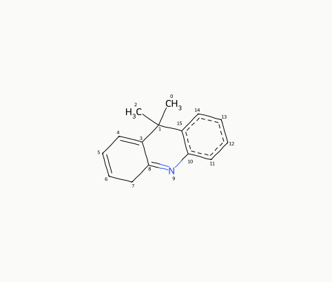 CC1(C)C2=CC=CCC2=Nc2ccccc21